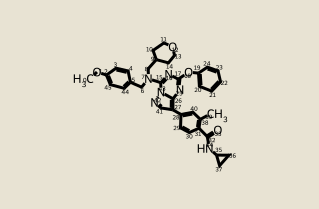 COc1ccc(CN(CC2CCOCC2)c2nc(Oc3ccccc3)nc3c(-c4ccc(C(=O)NC5CC5)c(C)c4)cnn23)cc1